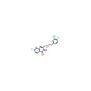 O=c1[nH]c(COCCc2ccc(F)c(Cl)c2)nc2nc(F)ccc12